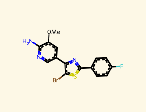 COc1cc(-c2nc(-c3ccc(F)cc3)sc2Br)cnc1N